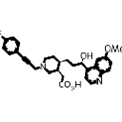 COc1ccc2nccc([C@@H](O)CC[C@@H]3CCN(CC#Cc4ccc(F)cc4)C[C@@H]3CC(=O)O)c2c1